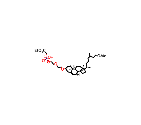 CCOC(=O)COP(=O)(O)OCCOCCO[C@H]1CC[C@@]2(C)C(=CC[C@H]3[C@@H]4CC[C@H]([C@H](C)CCCC(C)CCOC)[C@@]4(C)CC[C@@H]32)C1